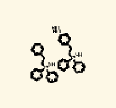 Cl.Cl.N=P(CCc1ccccc1)(c1ccccc1)c1ccccc1.N=P(CCc1ccccc1)(c1ccccc1)c1ccccc1